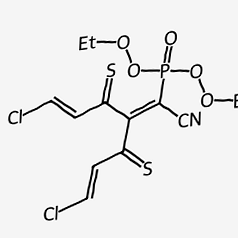 CCOOP(=O)(OOCC)C(C#N)=C(C(=S)C=CCl)C(=S)C=CCl